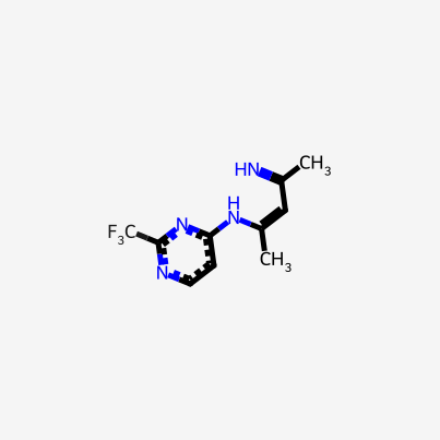 CC(=N)/C=C(/C)Nc1ccnc(C(F)(F)F)n1